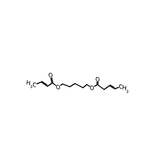 CC=CCC(=O)OCCCCCOC(=O)C=CC